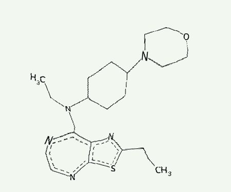 CCc1nc2c(N(CC)C3CCC(N4CCOCC4)CC3)ncnc2s1